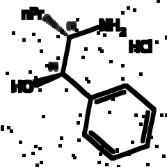 CCC[C@H](N)[C@H](O)c1ccccc1.Cl